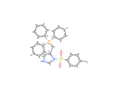 Cc1ccc(S(=O)(=O)n2cncc2C=P(c2ccccc2)(c2ccccc2)c2ccccc2)cc1